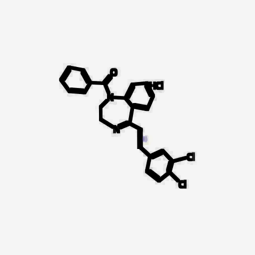 Cl.O=C(c1ccccc1)N1CCN=C(/C=C/c2ccc(Cl)c(Cl)c2)c2ccccc21